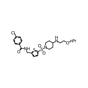 CCCOCCNC1CCN(S(=O)(=O)c2ccc(CNC(=O)c3ccc(Cl)cc3)s2)CC1